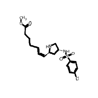 COC(=O)CCCC/C=C\[C@@H]1C[C@@H](NS(=O)(=O)c2ccc(Cl)cc2)CN1